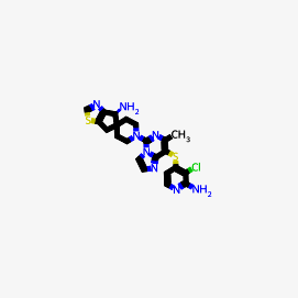 Cc1nc(N2CCC3(CC2)Cc2scnc2[C@H]3N)n2ccnc2c1Sc1ccnc(N)c1Cl